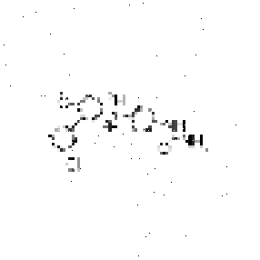 [2H]C([2H])(c1ccc(NC(N)=O)cc1)c1ccc(OC)c(-c2cccc(Cl)c2)c1